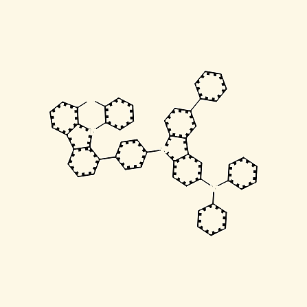 c1ccc(-c2ccc3c(c2)c2cc(N(c4ccccc4)c4ccccc4)ccc2n3-c2ccc(-c3cccc4c5cccc6c5n(c34)-c3ccccc3O6)cc2)cc1